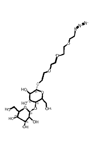 [N-]=[N+]=NCCOCCOCCOCCO[C@@H]1OC(CO)[C@@H](O[C@@H]2OC(CO)[C@H](O)[C@H](O)C2O)[C@H](O)C1O